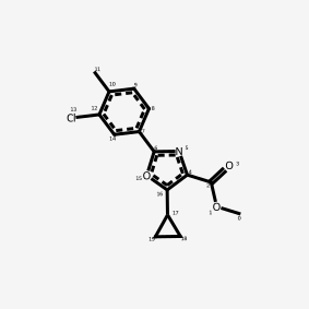 COC(=O)c1nc(-c2ccc(C)c(Cl)c2)oc1C1CC1